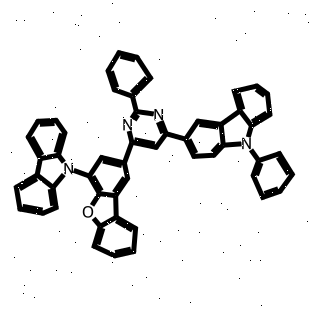 c1ccc(-c2nc(-c3cc(-n4c5ccccc5c5ccccc54)c4oc5ccccc5c4c3)cc(-c3ccc4c(c3)c3ccccc3n4-c3ccccc3)n2)cc1